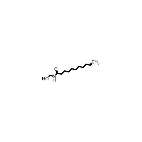 C=CCCCCCCCCC(=O)NCO